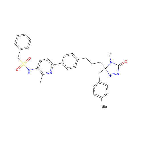 CCN1C(=O)N=NC1(CCCc1ccc(-c2ccc(NS(=O)(=O)Cc3ccccc3)c(C)n2)cc1)Cc1ccc(C(C)(C)C)cc1